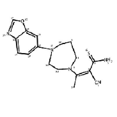 C/C(=C(\C#N)C(N)=S)N1CCCN(c2ccc3ncoc3c2)CC1